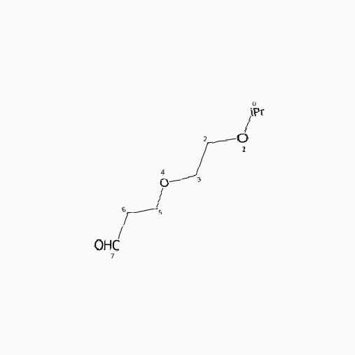 CC(C)OCCOCCC=O